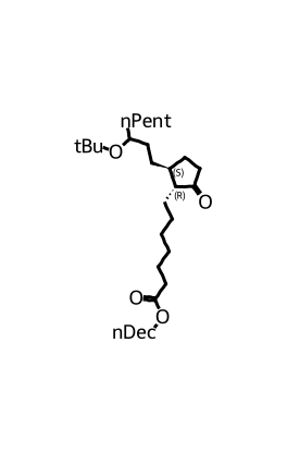 CCCCCCCCCCOC(=O)CCCCCC[C@H]1C(=O)CC[C@@H]1CCC(CCCCC)OC(C)(C)C